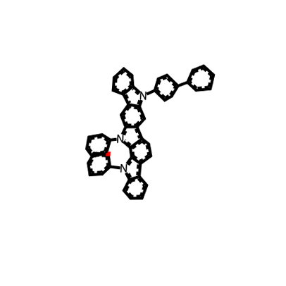 c1ccc(-c2ccc(-n3c4ccccc4c4cc5c(cc43)c3ccc4c6ccccc6n(-c6ccccc6)c4c3n5-c3ccccc3)cc2)cc1